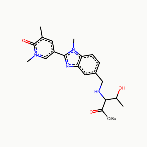 Cc1cc(-c2nc3cc(CNC(C(=O)OCC(C)C)C(C)O)ccc3n2C)cn(C)c1=O